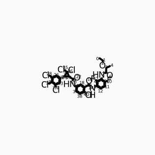 CCOC(C)C(=O)Nc1c(F)ccc(NC(=O)c2cc(NC(=O)C3[C@H](c4cc(Cl)c(Cl)c(Cl)c4)C3(Cl)Cl)ccc2Cl)c1F